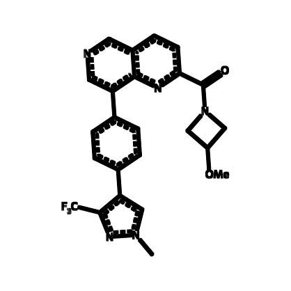 COC1CN(C(=O)c2ccc3cncc(-c4ccc(-c5cn(C)nc5C(F)(F)F)cc4)c3n2)C1